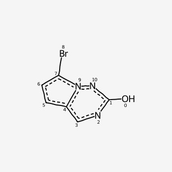 Oc1ncc2ccc(Br)n2n1